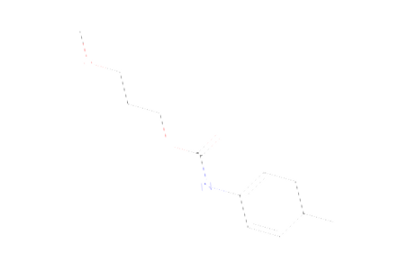 COCCCOC(=O)NC1=CCC(C)C=C1